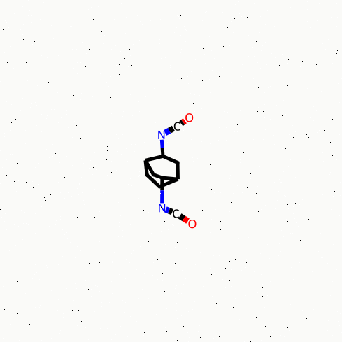 O=C=NC1CC2CCC1CC2N=C=O